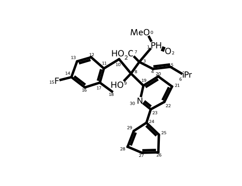 CO[PH](=O)C(C=CC(C)C)(C(=O)O)C(O)(Cc1ccc(F)cc1C)c1cccc(-c2ccccc2)n1